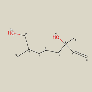 C=CC(C)(O)CCCC(C)CO